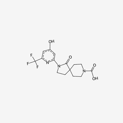 O=C(O)N1CCC2(CC1)CCN(c1cc(O)cc(C(F)(F)F)n1)C2=O